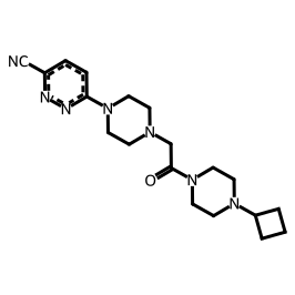 N#Cc1ccc(N2CCN(CC(=O)N3CCN(C4CCC4)CC3)CC2)nn1